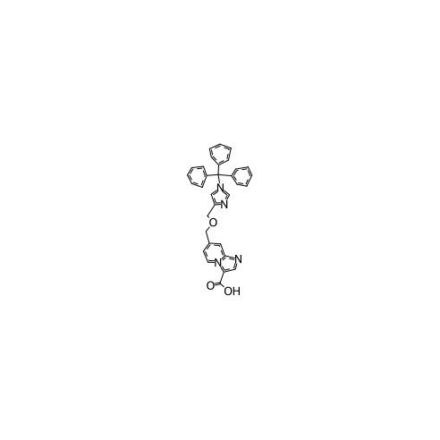 O=C(O)c1cnc2cc(COCc3cn(C(c4ccccc4)(c4ccccc4)c4ccccc4)cn3)ccn12